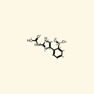 O=C(O)Nc1nc(-c2ccccc2[N+](=O)[O-])c[nH]1